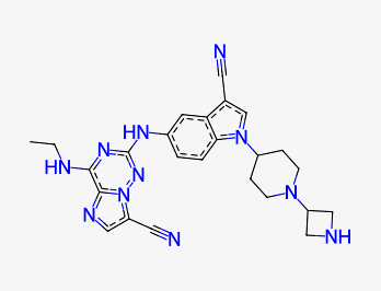 CCNc1nc(Nc2ccc3c(c2)c(C#N)cn3C2CCN(C3CNC3)CC2)nn2c(C#N)cnc12